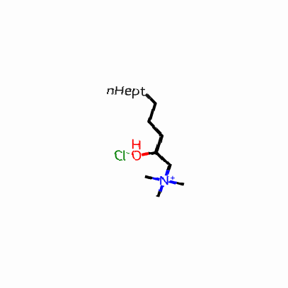 CCCCCCCCCCC(O)C[N+](C)(C)C.[Cl-]